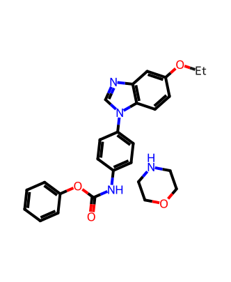 C1COCCN1.CCOc1ccc2c(c1)ncn2-c1ccc(NC(=O)Oc2ccccc2)cc1